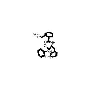 CCc1ccccc1C(=O)NC(CC1=CCCC=C1)C(=O)Nc1ccccc1C